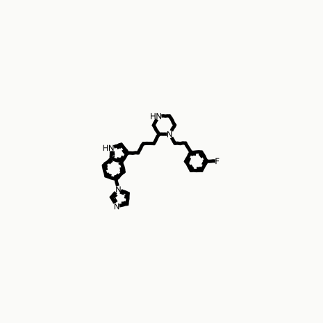 Fc1cccc(CCN2CCNCC2CCCc2c[nH]c3ccc(-n4ccnc4)cc23)c1